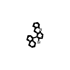 Brc1ccc2nc3ccccc3cc2c1-c1cccc2ccccc12